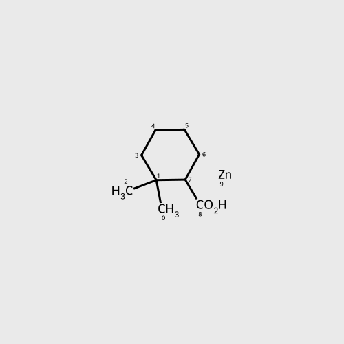 CC1(C)CCCCC1C(=O)O.[Zn]